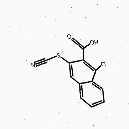 N#CSc1cc2ccccc2c(Cl)c1C(=O)O